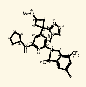 [CH2]c1cc2c(c(C(F)(F)F)c1)CN(c1cc(C3(c4nncn4C)CC(OC)C3)cc(NC3CCCC3)n1)C2=O